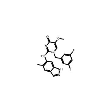 COc1cn(Cc2cc(F)cc(F)c2)c(Nc2cc3[nH]ncc3cc2C)nc1=O